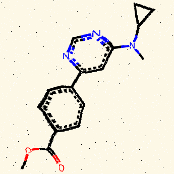 COC(=O)c1ccc(-c2cc(N(C)C3CC3)ncn2)cc1